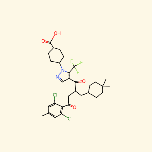 Cc1cc(Cl)c(C(=O)CC(CC2CCC(C)(C)CC2)C(=O)c2cnn(C3CCC(C(=O)O)CC3)c2C(F)(F)F)c(Cl)c1